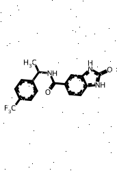 CC(NC(=O)c1ccc2[nH]c(=O)[nH]c2c1)c1ccc(C(F)(F)F)cc1